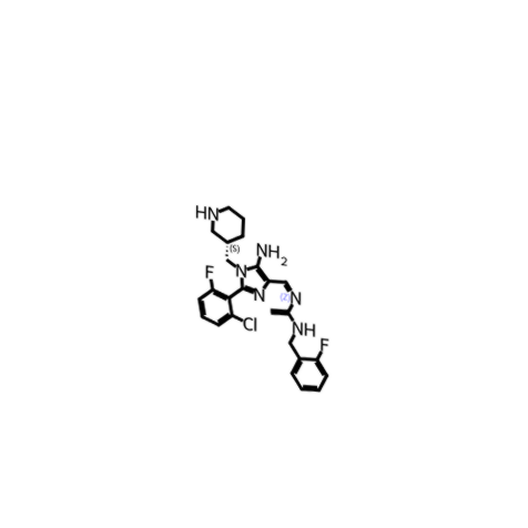 C=C(/N=C\c1nc(-c2c(F)cccc2Cl)n(C[C@H]2CCCNC2)c1N)NCc1ccccc1F